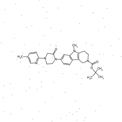 Cc1ccc(N2CCN(c3ccc4c5c(n(C)c4c3)CCN(C(=O)OC(C)(C)C)C5)C(=O)C2)nc1